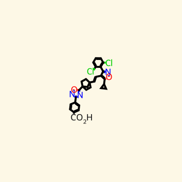 O=C(O)c1ccc(-c2noc(C34CCC(C=Cc5c(-c6c(Cl)cccc6Cl)noc5C5CC5)(CC3)C4)n2)cc1